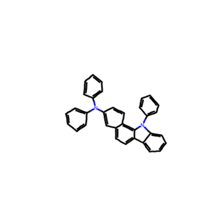 c1ccc(N(c2ccccc2)c2ccc3c(ccc4c5ccccc5n(-c5ccccc5)c34)c2)cc1